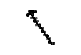 CCOCCOCCOCCOCCOCCOC(=O)OC